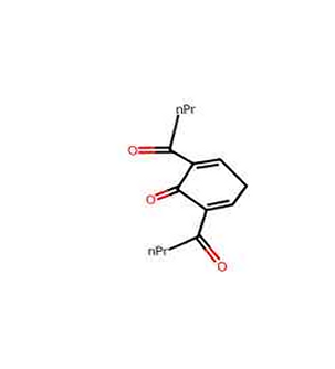 CCCC(=O)C1=CCC=C(C(=O)CCC)C1=O